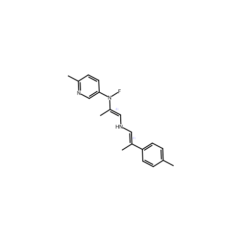 C/C(=C\N/C=C(\C)N(F)c1ccc(C)nc1)c1ccc(C)cc1